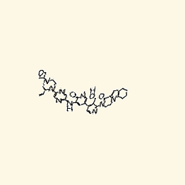 C=C[C@H]1CN(C2COC2)CCN1c1cnc(Nc2cc(-c3ccnc(N4CCn5c(cc6c5CCCC6)C4=O)c3CO)cn(C)c2=O)cn1